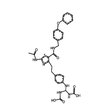 CC(=O)Nc1nc(CCc2ccc(NC(NC(=O)O)NC(=O)O)cc2)c(C(=O)NCc2ccc(Oc3ccccc3)cc2)s1